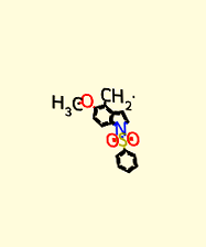 [CH2]c1c(OC)ccc2c1ccn2S(=O)(=O)c1ccccc1